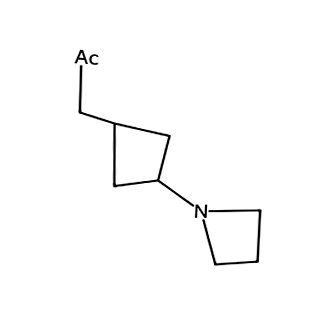 CC(=O)CC1CC(N2CCC2)C1